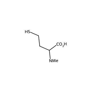 CNC(CCS)C(=O)O